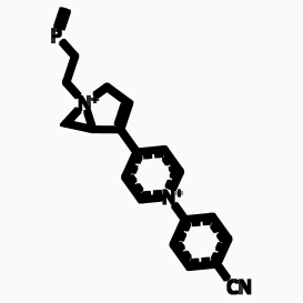 C=PCC[N+]12CC=C(c3cc[n+](-c4ccc(C#N)cc4)cc3)C1C2